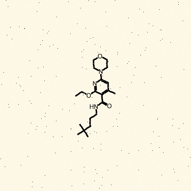 CCOc1nc(N2CCOCC2)cc(C)c1C(=O)NCCCC(C)(C)C